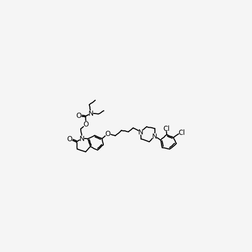 CCN(CC)C(=O)OCN1C(=O)CCc2ccc(OCCCCN3CCN(c4cccc(Cl)c4Cl)CC3)cc21